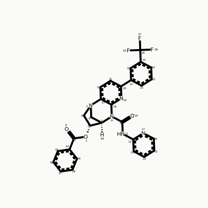 O=C(O[C@@H]1CN2C[C@H]1N(C(=O)Nc1ccccn1)c1nc(-c3cccc(C(F)(F)F)c3)ccc12)c1ccccc1